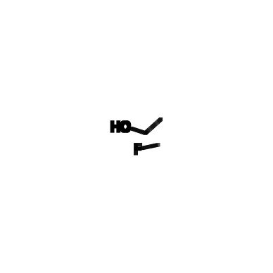 CCO.CF